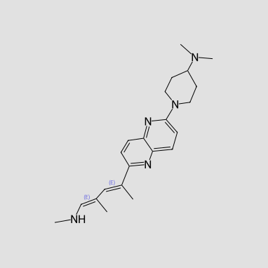 CN/C=C(C)/C=C(\C)c1ccc2nc(N3CCC(N(C)C)CC3)ccc2n1